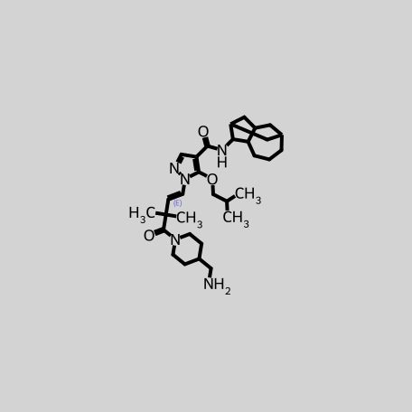 CC(C)COc1c(C(=O)NC2C3CC4CCCC2C(C4)C3)cnn1/C=C/C(C)(C)C(=O)N1CCC(CN)CC1